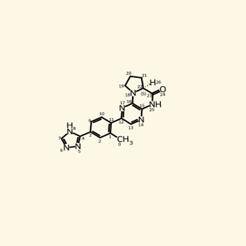 Cc1cc(-c2nnc[nH]2)ccc1-c1cnc2c(n1)N1CCC[C@H]1C(=O)N2